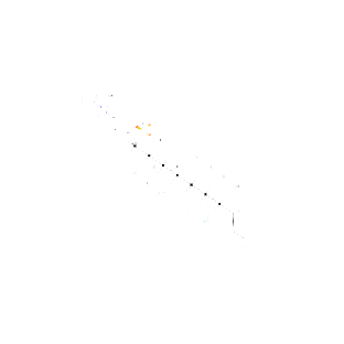 CC[N+](CC)(CC)CC.O=S(=O)([O-])C(F)(F)C(F)(F)C(F)(F)C(F)(F)C(F)(F)C(F)(F)C(F)(F)CCC(F)(F)F